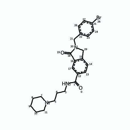 O=C(NCCCN1CCCCC1)c1ccc2c(c1)C(=O)N(Cc1ccc(Br)cc1)C2